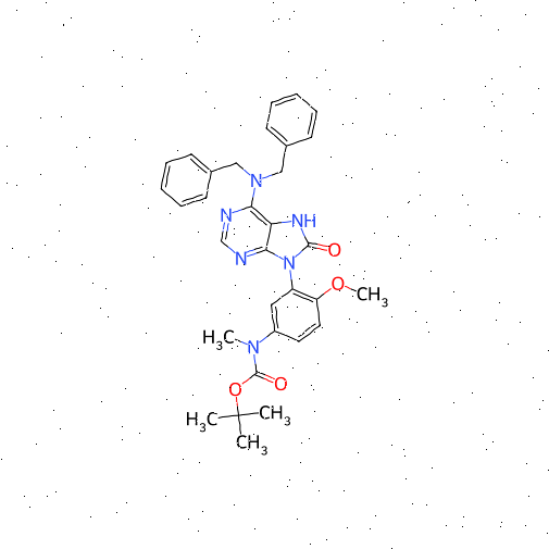 COc1ccc(N(C)C(=O)OC(C)(C)C)cc1-n1c(=O)[nH]c2c(N(Cc3ccccc3)Cc3ccccc3)ncnc21